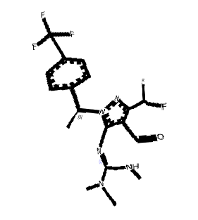 CN/C(=N\c1c(C=O)c(C(F)F)nn1[C@@H](C)c1ccc(C(F)(F)F)cc1)N(C)C